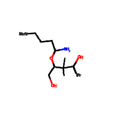 CNCCCC(N)OC(CO)C(C)(C)C(O)C(C)C